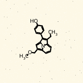 CCc1c(-c2ccc(O)cc2)c2cc(COC)c3cccc1n32